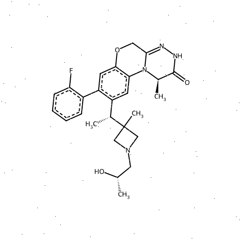 C[C@H](O)CN1CC(C)([C@H](C)c2cc3c(cc2-c2ccccc2F)OCC2=NNC(=O)[C@@H](C)N23)C1